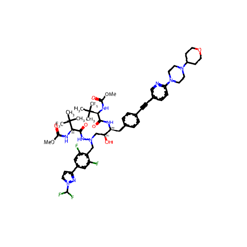 COC(=O)NC(C(=O)N[C@@H](Cc1ccc(C#Cc2ccc(N3CCN(C4CCOCC4)CC3)nc2)cc1)[C@@H](O)CN(Cc1c(F)cc(-c2ccn(C(F)F)n2)cc1F)NC(=O)[C@@H](NC(=O)OC)C(C)(C)C(F)(F)F)C(C)(C)C(F)(F)F